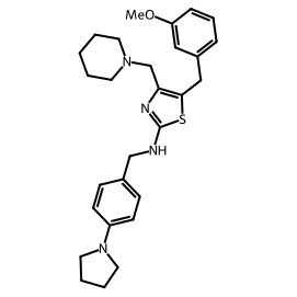 COc1cccc(Cc2sc(NCc3ccc(N4CCCC4)cc3)nc2CN2CCCCC2)c1